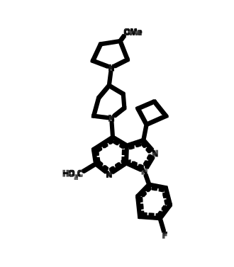 COC1CCN(C2CCN(c3cc(C(=O)O)nc4c3c(C3CCC3)nn4-c3ccc(F)cc3)CC2)C1